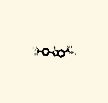 Cn1c(-c2ccc(C(=N)N)cc2)cc2ccc(C(=N)N)cc21